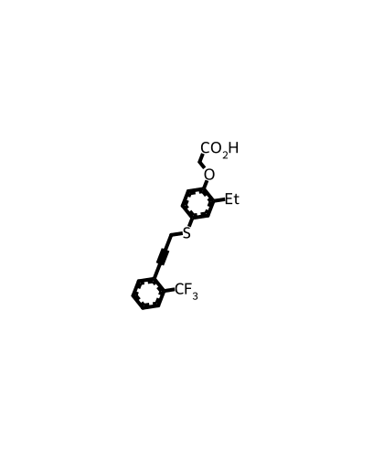 CCc1cc(SCC#Cc2ccccc2C(F)(F)F)ccc1OCC(=O)O